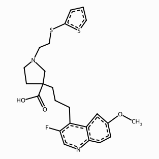 COc1ccc2ncc(F)c(CCCC3(C(=O)O)CCN(CCSc4cccs4)C3)c2c1